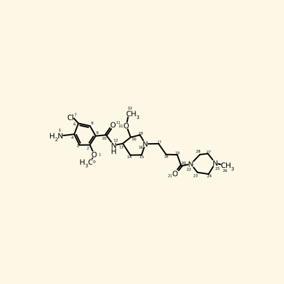 COc1cc(N)c(Cl)cc1C(=O)NC1CCN(CCCC(=O)N2CCN(C)CC2)CC1OC